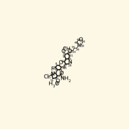 COc1cc2c(Oc3cc(F)c(-c4nc(Cl)cc(OC)c4C(N)=O)cc3F)ccnc2cc1OCCCN1CCOCC1